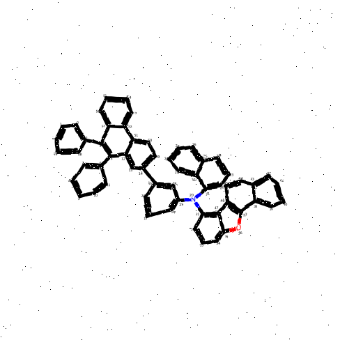 c1ccc(-c2c(-c3ccccc3)c3cc(-c4cccc(N(c5cccc6ccccc56)c5cccc6oc7c8ccccc8ccc7c56)c4)ccc3c3ccccc23)cc1